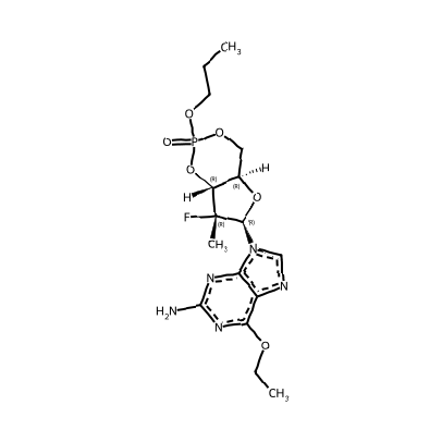 CCCOP1(=O)OC[C@H]2O[C@@H](n3cnc4c(OCC)nc(N)nc43)[C@](C)(F)[C@@H]2O1